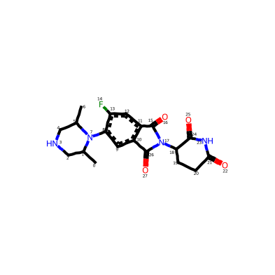 CC1CNCC(C)N1c1cc2c(cc1F)C(=O)N(C1CCC(=O)NC1=O)C2=O